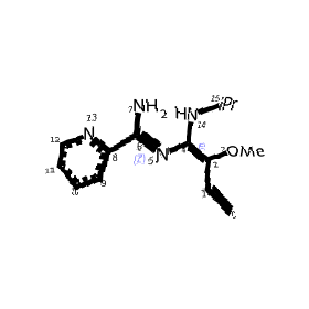 C=C/C(OC)=C(\N=C(/N)c1ccccn1)NC(C)C